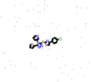 Clc1ccc(-c2csc(Sc3nnc(-c4cccs4)n3-c3cccnc3)n2)cc1